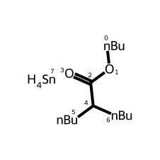 CCCCOC(=O)C(CCCC)CCCC.[SnH4]